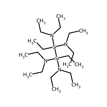 CCN(CC)[Si](CC)(N(CC)CC)[Si](CC)(N(CC)CC)N(CC)CC